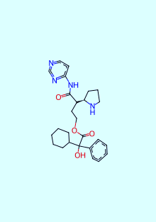 O=C(Nc1ccncn1)C(CCOC(=O)C(O)(c1ccccc1)C1CCCCC1)[C@H]1CCCN1